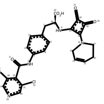 O=C(Nc1ccc(C[C@H](Nc2c(N3CC=CCC3)c(=O)c2=O)C(=O)O)cc1)c1c(Cl)cncc1Cl